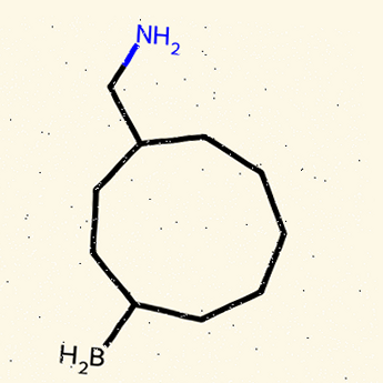 BC1CCCCCC(CN)CC1